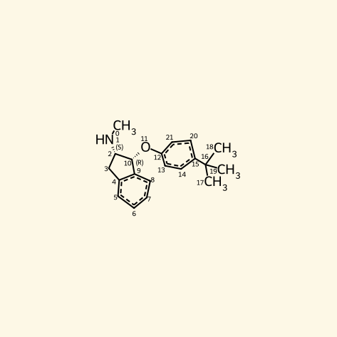 CN[C@H]1Cc2ccccc2[C@H]1Oc1ccc(C(C)(C)C)cc1